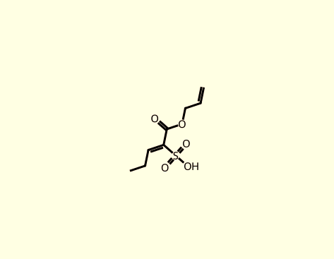 C=CCOC(=O)C(=CCC)S(=O)(=O)O